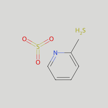 Cc1ccccn1.O=S(=O)=O.S